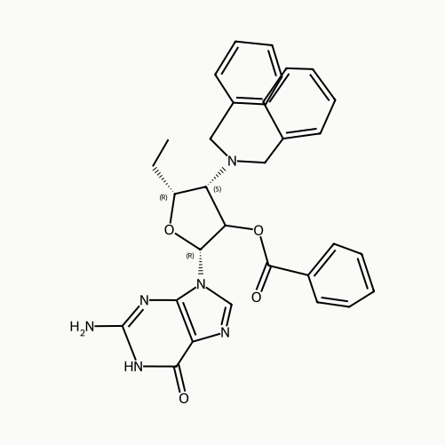 CC[C@H]1O[C@@H](n2cnc3c(=O)[nH]c(N)nc32)C(OC(=O)c2ccccc2)[C@H]1N(Cc1ccccc1)Cc1ccccc1